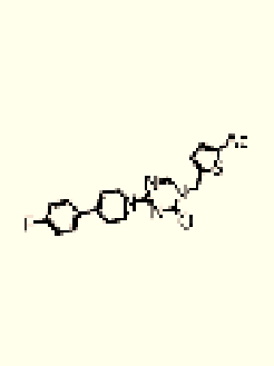 CC(=O)c1ccc(Cn2cnc(N3CC=C(c4ccc(F)cc4)CC3)nc2=O)s1